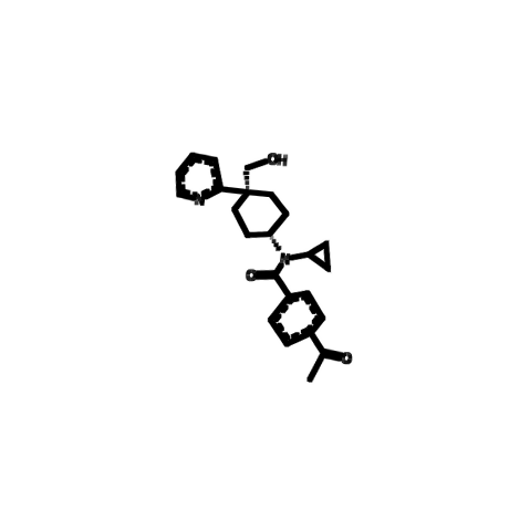 CC(=O)c1ccc(C(=O)N(C2CC2)[C@H]2CC[C@](CO)(c3ccccn3)CC2)cc1